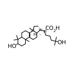 CC(C)(O)CCC[C@@H](C(=O)O)[C@H]1CC[C@@]2(C)C3=C(CC[C@]12C)C1(C)CCC(O)C(C)(C)C1CC3